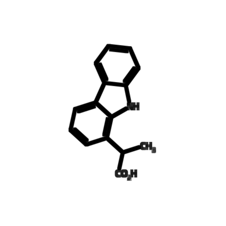 CC(C(=O)O)c1cccc2c1[nH]c1ccccc12